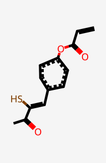 C=CC(=O)Oc1ccc(/C=C(\S)C(C)=O)cc1